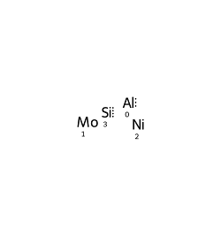 [Al].[Mo].[Ni].[Si]